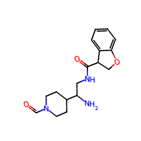 NC(CNC(=O)C1COc2ccccc21)C1CCN(C=O)CC1